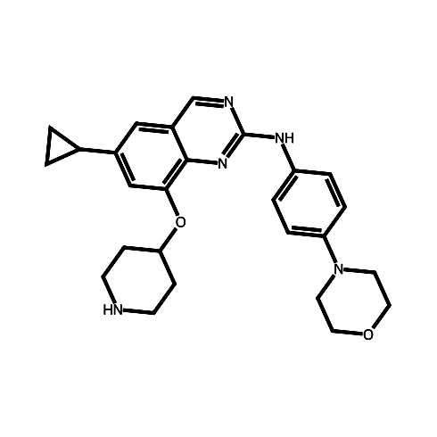 c1cc(N2CCOCC2)ccc1Nc1ncc2cc(C3CC3)cc(OC3CCNCC3)c2n1